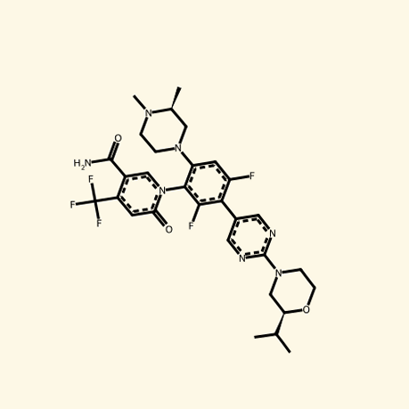 CC(C)[C@H]1CN(c2ncc(-c3c(F)cc(N4CCN(C)[C@@H](C)C4)c(-n4cc(C(N)=O)c(C(F)(F)F)cc4=O)c3F)cn2)CCO1